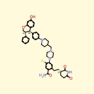 NC(=O)c1cc(F)c(N2CCN(CC3CCN(c4ccc([C@@H]5c6ccc(O)cc6OC[C@@H]5c5ccccc5)cc4)CC3)CC2)cc1CC[C@H]1CCC(=O)NC1=O